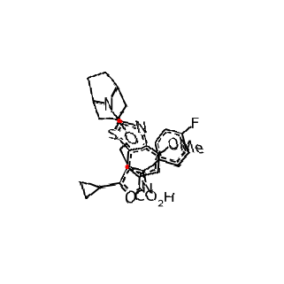 COc1cc(C(=O)O)cc2sc(N3C4CCC3CC(OCc3c(-c5ccc(F)cc5)noc3C3CC3)C4)nc12